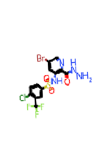 NNC(=O)c1ncc(Br)cc1NS(=O)(=O)c1ccc(Cl)c(C(F)(F)F)c1